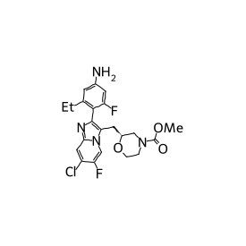 CCc1cc(N)cc(F)c1-c1nc2cc(Cl)c(F)cn2c1C[C@H]1CN(C(=O)OC)CCO1